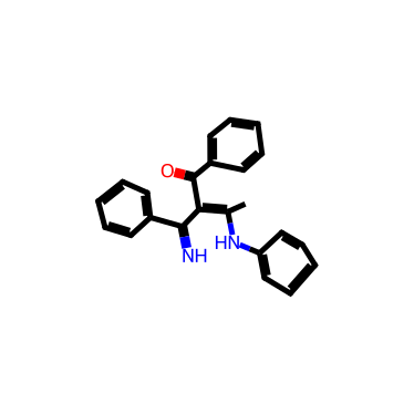 C/C(Nc1ccccc1)=C(/C(=N)c1ccccc1)C(=O)c1ccccc1